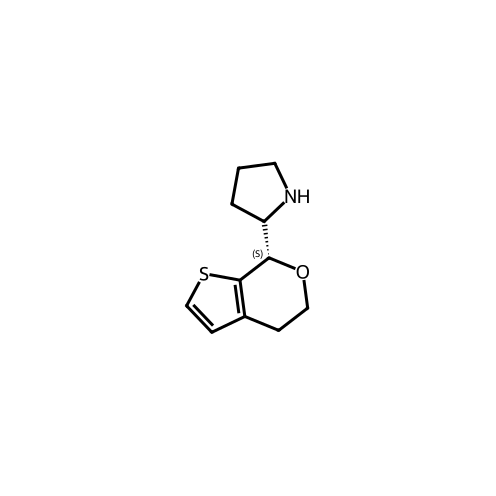 c1cc2c(s1)[C@H](C1CCCN1)OCC2